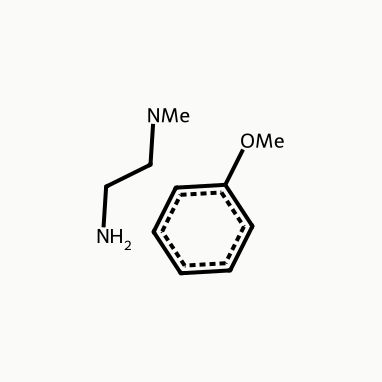 CNCCN.COc1ccccc1